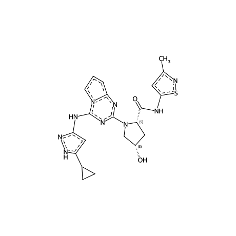 Cc1cc(NC(=O)[C@@H]2C[C@H](O)CN2c2nc(Nc3cc(C4CC4)[nH]n3)n3cccc3n2)sn1